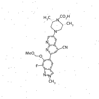 COCOc1c(-c2cc(C#N)c3cc(N4C[C@@H](C)N(C(=O)O)[C@@H](C)C4)cnc3n2)cc2cn(C)nc2c1F